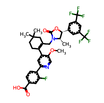 COc1cnc(-c2ccc(C(=O)O)cc2F)cc1C1=C(CN2C(=O)O[C@H](c3cc(C(F)(F)F)cc(C(F)(F)F)c3)[C@@H]2C)CC(C)(C)CC1